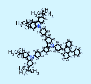 CC(C)(C)c1ccc2c(c1)c1cc(C(C)(C)C)ccc1n2-c1ccc(-c2ccc3c(c2)c2cc(-c4ccc(-n5c6ccc(C(C)(C)C)cc6c6cc(C(C)(C)C)ccc65)cc4)ccc2n3-c2ccc(-c3c4ccccc4c(-c4ccccc4)c4ccccc34)cc2)cc1